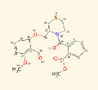 COC(=O)c1ccccc1C(=O)N1CCSCC1COc1cccc(OC)c1C=O